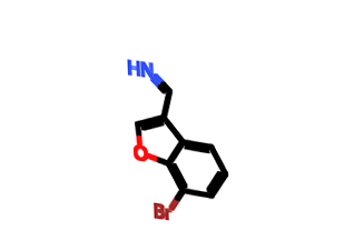 N=Cc1coc2c(Br)cccc12